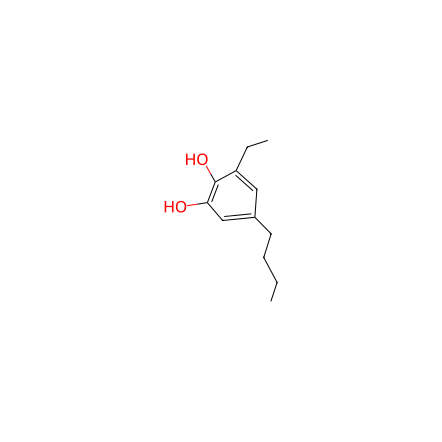 CCCCc1cc(O)c(O)c(CC)c1